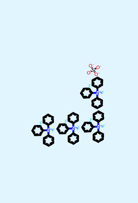 Fc1ccccc1[N+](F)(c1ccccc1)c1ccccc1.Fc1ccccc1[N+](F)(c1ccccc1)c1ccccc1.Fc1ccccc1[N+](F)(c1ccccc1)c1ccccc1.Fc1ccccc1[N+](F)(c1ccccc1)c1ccccc1.[O-][Si]([O-])([O-])[O-]